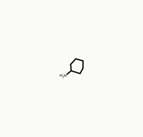 [InH2][CH]1CCCCC1